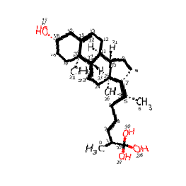 CC(CCC[C@@H](C)[C@H]1CC[C@H]2[C@@H]3CC=C4C[C@@H](O)CC[C@]4(C)[C@H]3CC[C@]12C)C(O)(O)O